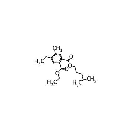 CCOC(=O)c1cc(CC)c(C)cc1C(=O)OCCCC(C)C